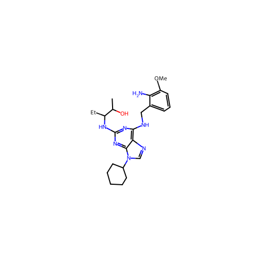 CCC(Nc1nc(NCc2cccc(OC)c2N)c2ncn(C3CCCCC3)c2n1)C(C)O